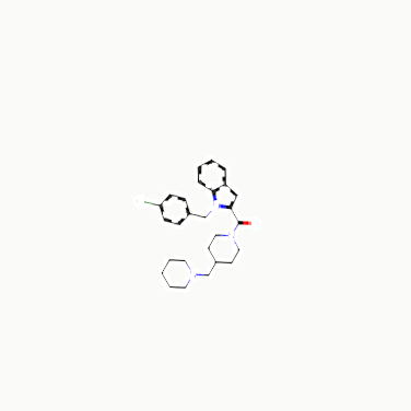 O=C(c1cc2ccccc2n1Cc1ccc(Cl)cc1)N1CCC(CN2CCCCC2)CC1